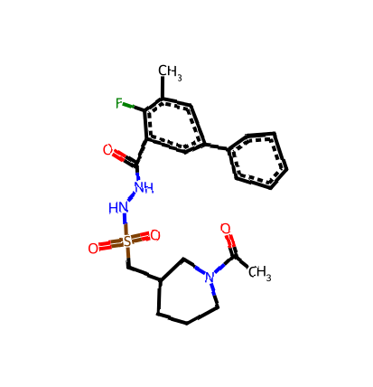 CC(=O)N1CCCC(CS(=O)(=O)NNC(=O)c2cc(-c3ccccc3)cc(C)c2F)C1